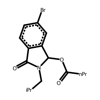 CCCC(=O)OC1c2cc(Br)ccc2C(=O)N1CC(C)C